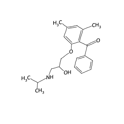 Cc1cc(C)c(C(=O)c2ccccc2)c(OCC(O)CNC(C)C)c1